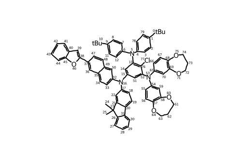 CC(C)(C)c1ccc(N(c2ccc(C(C)(C)C)cc2)c2cc(N(c3ccc4c(c3)C(C)(C)c3ccccc3-4)c3ccc4cc(-c5cc6ccccc6o5)ccc4c3)cc(N(c3ccc4c(c3)OCCCO4)c3ccc4c(c3)OCCCO4)c2Cl)cc1